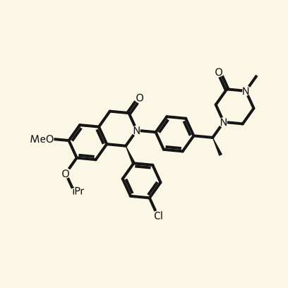 COc1cc2c(cc1OC(C)C)[C@H](c1ccc(Cl)cc1)N(c1ccc([C@H](C)N3CCN(C)C(=O)C3)cc1)C(=O)C2